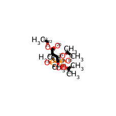 C=C(CC(O)(P(C)(C)=O)P(=O)(OC(C)C)OC(C)C)C(=O)OCC